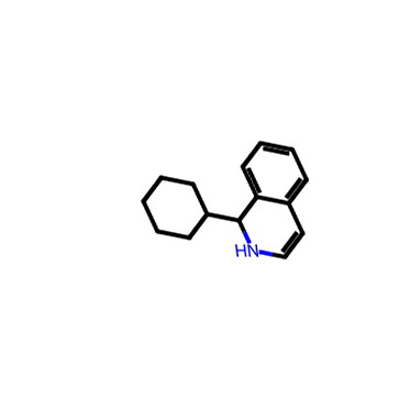 C1=Cc2ccccc2C(C2CCCCC2)N1